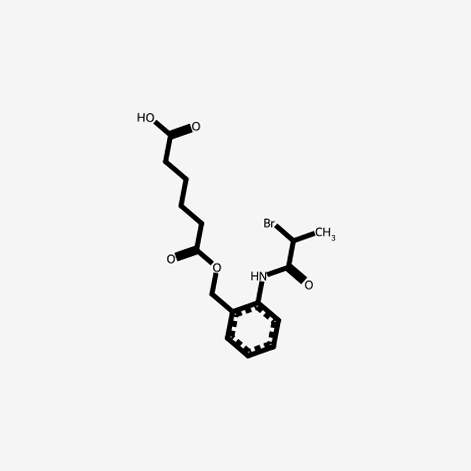 CC(Br)C(=O)Nc1ccccc1COC(=O)CCCCC(=O)O